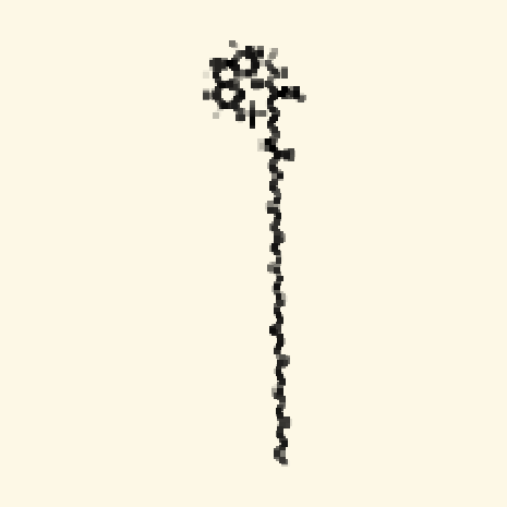 COCCOCCOCCOCCOCCOCCOCCOCCOCCOCC(=O)NCCCC[C@H](N)C(=O)N[C@@H](C)C(=O)N[C@@H](C)C(=O)N[C@@H](C)C(=O)N[C@@H](C)C(=O)OC(C)(C)C